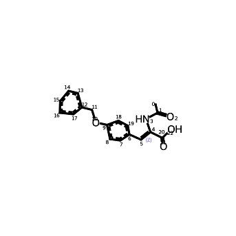 CC(=O)N/C(=C\c1ccc(OCc2ccccc2)cc1)C(=O)O